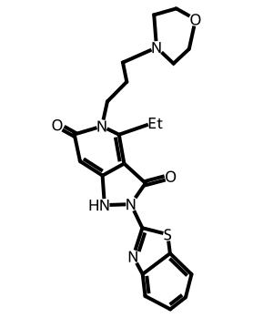 CCc1c2c(=O)n(-c3nc4ccccc4s3)[nH]c2cc(=O)n1CCCN1CCOCC1